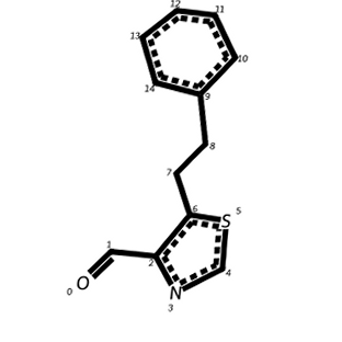 O=Cc1ncsc1CCc1ccccc1